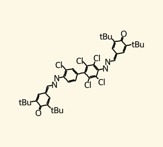 CC(C)(C)C1=CC(=C/N=N/c2ccc(-c3c(Cl)c(Cl)c(/N=N/C=C4C=C(C(C)(C)C)C(=O)C(C(C)(C)C)=C4)c(Cl)c3Cl)cc2Cl)C=C(C(C)(C)C)C1=O